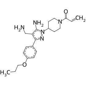 C=CC(=O)N1CCC(n2nc(-c3ccc(OCCC)cc3)c(CN)c2N)CC1